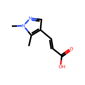 Cc1c(C=CC(=O)O)cnn1C